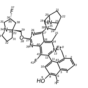 CCc1cccc2c(F)c(O)cc(-c3nc(C)c4c(N5CC6CCC(C5)N6)nc(OC[C@@]56CCCN5C[C@H](F)C6)nc4c3F)c12